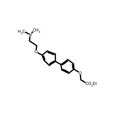 CCOC(=O)COc1ccc(-c2ccc(OCCN(C)C)cc2)cc1